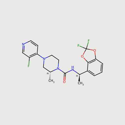 C[C@@H]1CN(c2ccncc2F)CCN1C(=O)N[C@H](C)c1cccc2c1OC(F)(F)O2